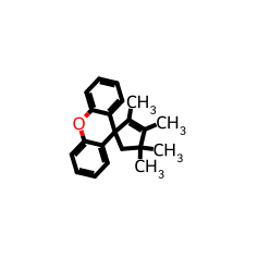 CC1=C(C)C2(CC1(C)C)c1ccccc1Oc1ccccc12